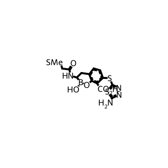 CSCC(=O)NC1Cc2ccc(Sc3nnc(N)s3)c(C(=O)O)c2OB1O